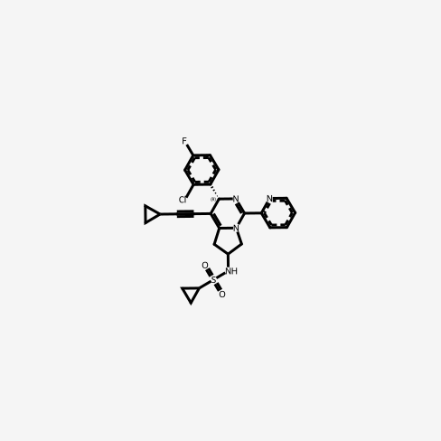 O=S(=O)(NC1CC2=C(C#CC3CC3)[C@H](c3ccc(F)cc3Cl)N=C(c3ccccn3)N2C1)C1CC1